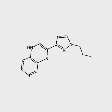 CCCn1ccc(C2=CNc3ccncc3S2)n1